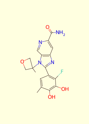 Cc1cc(-c2nc3cc(C(N)=O)ncc3n2C2(C)COC2)c(F)c(O)c1O